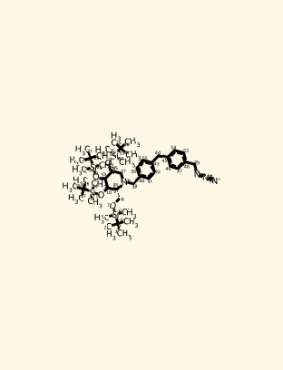 CC(C)(C)[Si](C)(C)OC[C@@H]1C(O[Si](C)(C)C(C)(C)C)C(O[Si](C)(C)C(C)(C)C)C(O[Si](C)(C)C(C)(C)C)CN1Cc1ccc(Cc2ccc(CN=[N+]=[N-])cc2)cc1